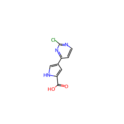 O=C(O)c1cc(-c2ccnc(Cl)n2)c[nH]1